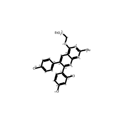 CCOC(=O)COc1nc(C(C)(C)C)nc2nc(-c3ccc(Cl)cc3Cl)c(-c3ccc(Cl)cc3)cc12